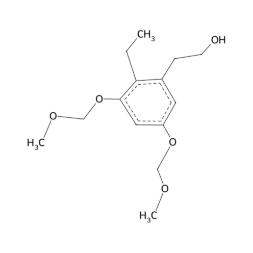 CCc1c(CCO)cc(OCOC)cc1OCOC